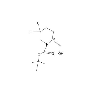 CC(C)(C)OC(=O)N1CC(F)(F)CC[C@@H]1CO